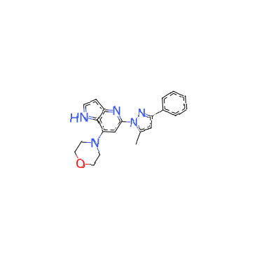 Cc1cc(-c2ccccc2)nn1-c1cc(N2CCOCC2)c2[nH]ccc2n1